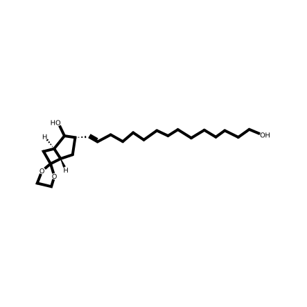 OCCCCCCCCCCCCCC=C[C@@H]1C[C@H]2[C@@H](CC23OCCO3)C1O